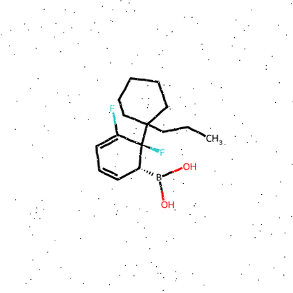 CCCC1([C@@]2(F)C(F)=CC=C[C@H]2B(O)O)CCCCC1